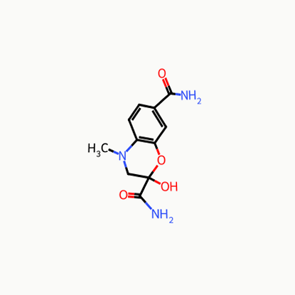 CN1CC(O)(C(N)=O)Oc2cc(C(N)=O)ccc21